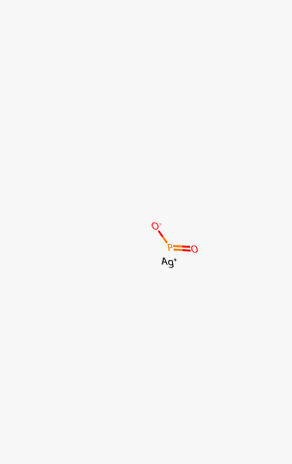 O=P[O-].[Ag+]